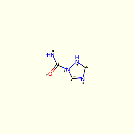 [NH]C(=O)N1C=NCN1